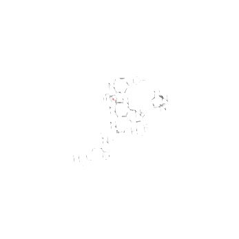 C=CC(=O)N1CCN(c2nc(=O)n3c4nc(c(F)cc24)-c2cn(nn2)CCOc2ccnc(C(C)C)c2-3)[C@@H](C)C1